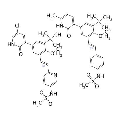 COc1c(/C=C/c2ccc(NS(C)(=O)=O)cc2)cc(-c2ccc(C)[nH]c2=O)cc1C(C)(C)C.COc1c(/C=C/c2ccc(NS(C)(=O)=O)cn2)cc(-c2cc(Cl)c[nH]c2=O)cc1C(C)(C)C